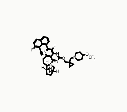 C#Cc1c(F)ccc2cccc(-c3nc4c5c(nc(OCC6(CN7CCC(OC(F)(F)F)CC7)CC6)nc5c3F)N3C[C@@H]5CC[C@@H](N5)[C@H]3CC4)c12